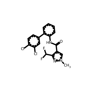 Cn1cc(C(=O)Nc2ccccc2-c2ccc(Cl)c(Cl)c2)c(C(F)F)n1